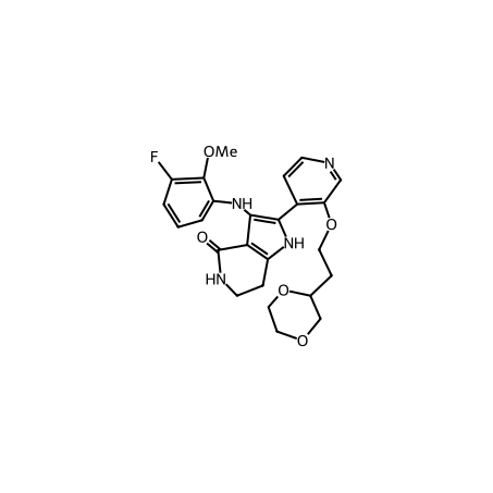 COc1c(F)cccc1Nc1c(-c2ccncc2OCCC2COCCO2)[nH]c2c1C(=O)NCC2